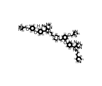 Nc1ncnc2c1c(-c1ccc(Oc3cc(OCc4cncs4)ccc3CN3CCN(CCn4nc(-c5ccc(Oc6cccc(OCc7cncs7)c6)cc5)c5c(N)ncnc54)CC3)cc1)nn2CCc1ccncc1